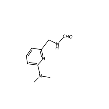 CN(C)c1cccc(CNC=O)n1